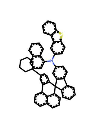 c1ccc2c(c1)-c1ccc(N(c3ccc4sc5ccccc5c4c3)c3cccc4ccccc34)cc1C21c2ccc(C3CCCCC3)cc2-c2cccc3cccc1c23